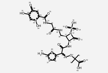 CC(C)(O/N=C(\C(=O)N[C@@H]1C(=O)N(S(=O)(=O)O)[C@@H]1CNC(=O)CNC(=O)c1cc(=O)c(O)cn1O)c1csc(N)n1)C(=O)O